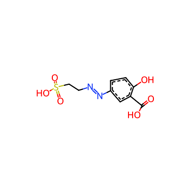 O=C(O)c1cc(/N=N/CCS(=O)(=O)O)ccc1O